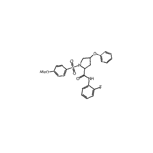 COc1ccc(S(=O)(=O)N2CC(Oc3ccccc3)CC2C(=O)Nc2ccccc2F)cc1